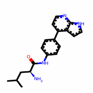 CC(C)C[C@H](N)C(=O)Nc1ccc(-c2ccnc3[nH]ccc23)cc1